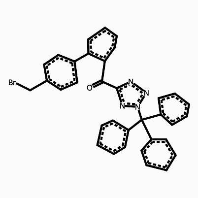 O=C(c1nnn(C(c2ccccc2)(c2ccccc2)c2ccccc2)n1)c1ccccc1-c1ccc(CBr)cc1